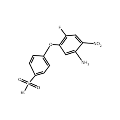 CCS(=O)(=O)c1ccc(Oc2cc(N)c([N+](=O)[O-])cc2F)cc1